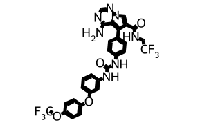 Nc1ncnn2cc(C(=O)NCC(F)(F)F)c(-c3ccc(NC(=O)Nc4cccc(Oc5ccc(OC(F)(F)F)cc5)c4)cc3)c12